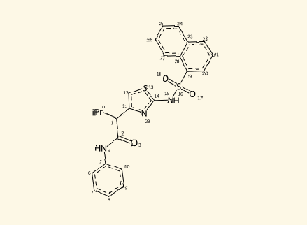 CC(C)C(C(=O)Nc1ccccc1)c1csc(NS(=O)(=O)c2cccc3ccccc23)n1